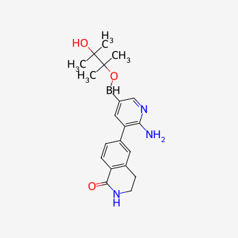 CC(C)(O)C(C)(C)OBc1cnc(N)c(-c2ccc3c(c2)CCNC3=O)c1